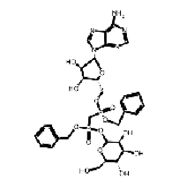 Nc1ncnc2c1ncn2[C@@H]1O[C@H](COP(=O)(CP(=O)(OCc2ccccc2)OC2O[C@H](CO)[C@@H](O)[C@H](O)[C@@H]2O)OCc2ccccc2)[C@@H](O)[C@H]1O